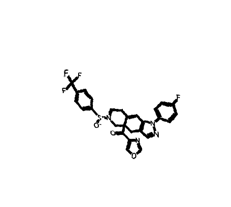 O=C(c1cocn1)C12Cc3cnn(-c4ccc(F)cc4)c3C=C1CCN([S+]([O-])c1ccc(C(F)(F)F)cc1)C2